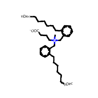 CCCCCCCCCCCCCCCCc1ccccc1C[N+](C)(CCCC(=O)[O-])Cc1ccccc1CCCCCCCCCCCCCCCC